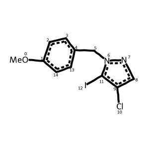 COc1ccc(Cn2ncc(Cl)c2I)cc1